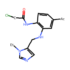 CCn1cncc1CNc1cc(C(C)=O)ccc1NC(=O)CCl